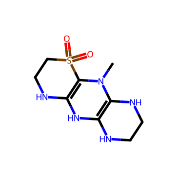 CN1C2=C(NCCN2)NC2=C1S(=O)(=O)CCN2